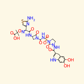 CC(C)(ON=C(C(=O)NC1CN(C(=O)NS(=O)(=O)N2CCN(NC(=O)C3=CNc4cc(O)c(O)cc4C3)C2=O)C1=O)c1csc(N)n1)C(=O)O